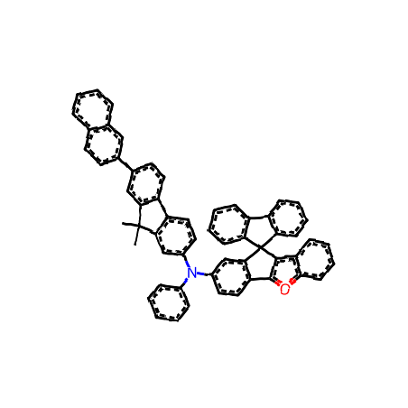 CC1(C)c2cc(-c3ccc4ccccc4c3)ccc2-c2ccc(N(c3ccccc3)c3ccc4c(c3)C3(c5ccccc5-c5ccccc53)c3c-4oc4ccccc34)cc21